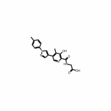 Cc1ccc(-n2cc(-c3cnc(C(=O)NCC(=O)O)c(O)c3C)cn2)cc1